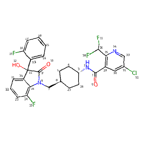 O=C(N[C@H]1CC[C@H](CN2C(=O)C(O)(c3ccccc3F)c3cccc(F)c32)CC1)c1cc(Cl)cnc1C(F)F